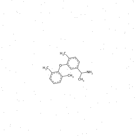 Cc1ccc(C(C)N)cc1Oc1c(C)cccc1C